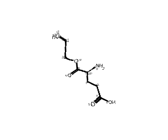 N[C@@H](CCC(=O)O)C(=O)OCCO